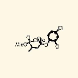 COP(=O)(OC)C(C)CC(=O)Oc1ccc(Cl)cc1Cl